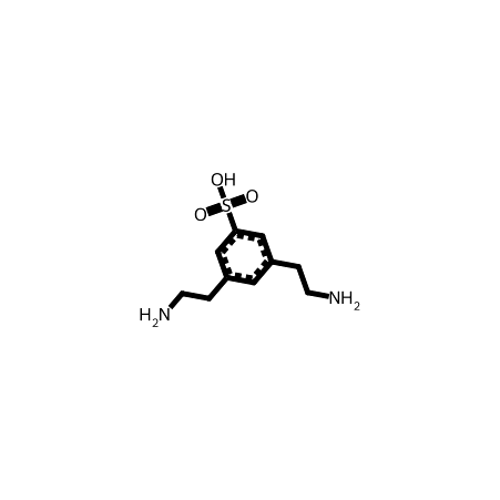 NCCc1cc(CCN)cc(S(=O)(=O)O)c1